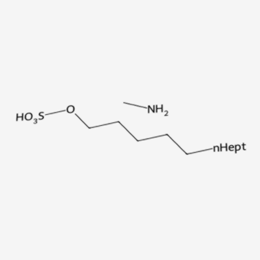 CCCCCCCCCCCCOS(=O)(=O)O.CN